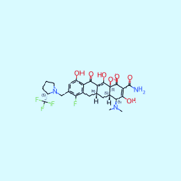 CN(C)[C@@H]1C(O)=C(C(N)=O)C(=O)[C@@]2(O)C(O)=C3C(=O)c4c(O)cc(CN5CCC[C@H]5C(F)(F)F)c(F)c4C[C@H]3C[C@@H]12